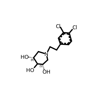 OC1[C@H](O)CN(CCc2ccc(Cl)c(Cl)c2)C[C@@H]1O